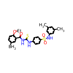 Bc1ccc(OCC)c(C(=O)NC(=S)Nc2ccc(S(=O)(=O)Nc3cc(C)cc(C)c3)cc2)c1